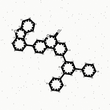 O=c1oc2cc(-c3cccc4oc5ccccc5c34)ccc2c2cc(-c3cc(-c4ccccc4)cc(-c4ccccc4)c3)ccc12